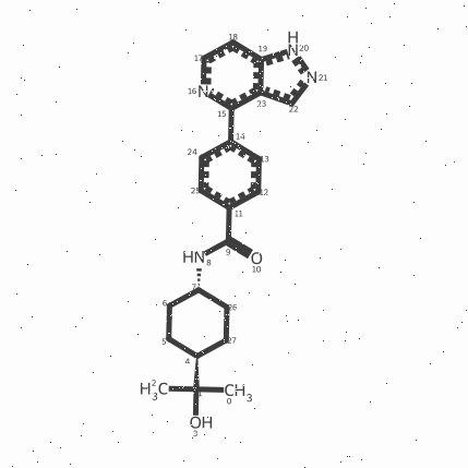 CC(C)(O)[C@H]1CC[C@H](NC(=O)c2ccc(-c3nccc4[nH]ncc34)cc2)CC1